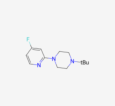 CC(C)(C)N1CCN(c2cc(F)ccn2)CC1